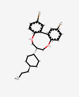 CCC[C@H]1CC[C@H](C2COc3ccc(Br)cc3-c3cc(Br)ccc3OC2)CC1